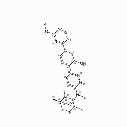 COc1ncnc(-c2ccc(-c3ccc(N(C)C4C(F)[C@]5(C)CCC4(C)CN5C)nn3)c(O)c2)n1